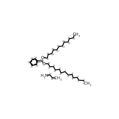 CCCCCCCCCCCCCCON(OCCCCCCCCCCCC)c1ccccc1.CCCN